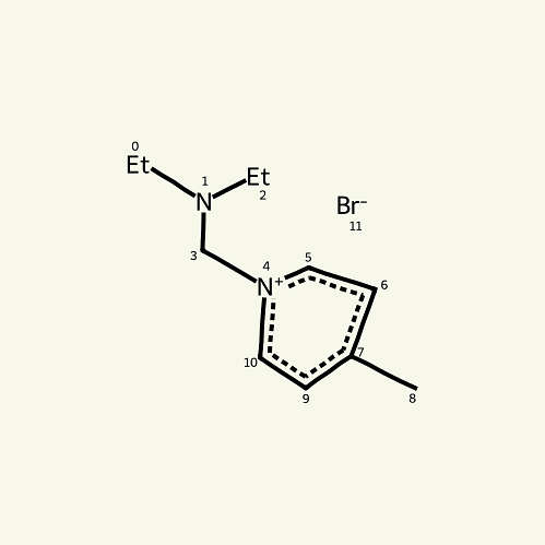 CCN(CC)C[n+]1ccc(C)cc1.[Br-]